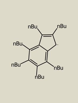 CCCCC1=C(CCCC)c2c(c(CCCC)c(CCCC)c(CCCC)c2CCCC)[CH]1